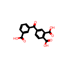 O=C(O)c1cccc(C(=O)c2ccc(C(=O)O)c(C(=O)O)c2)c1